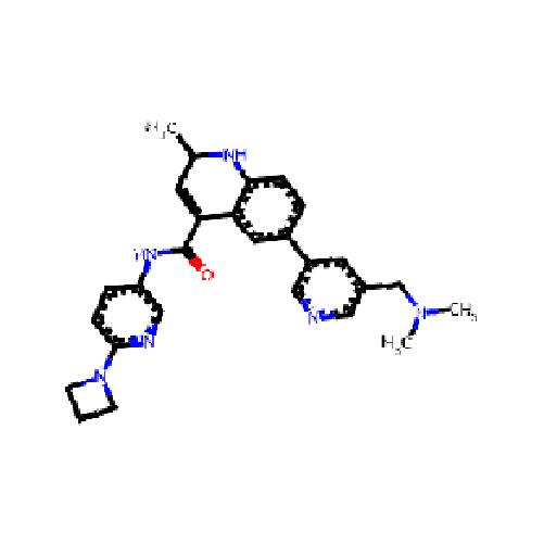 CC1C=C(C(=O)Nc2ccc(N3CCC3)nc2)c2cc(-c3cncc(CN(C)C)c3)ccc2N1